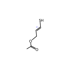 CC(=O)OC/C=C/S